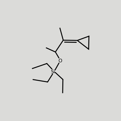 CC[Si](CC)(CC)OC(C)C(C)=C1CC1